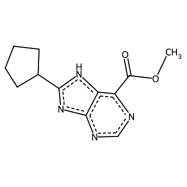 COC(=O)c1ncnc2nc(C3CCCC3)[nH]c12